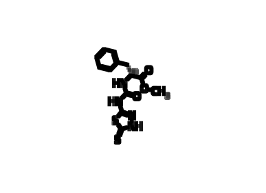 COC(=O)[C@@H](Cc1ccccc1)NC(=O)Nc1n[nH]c(=S)s1